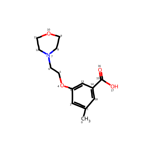 Cc1cc(OCCN2CCOCC2)cc(C(=O)O)c1